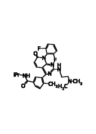 Cc1ccc(C(=O)NC(C)C)cc1-c1nc(NCCN(C)C)nc2c1ccc(=O)n2-c1c(F)cccc1F